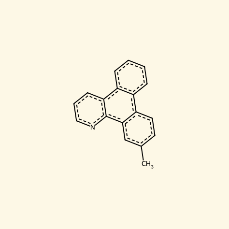 Cc1ccc2c3ccccc3c3cccnc3c2c1